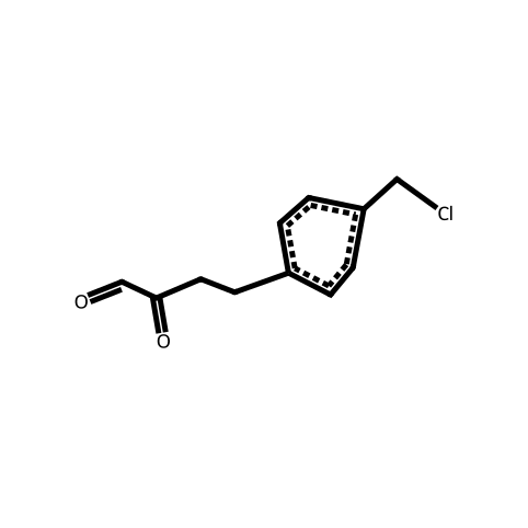 O=CC(=O)CCc1ccc(CCl)cc1